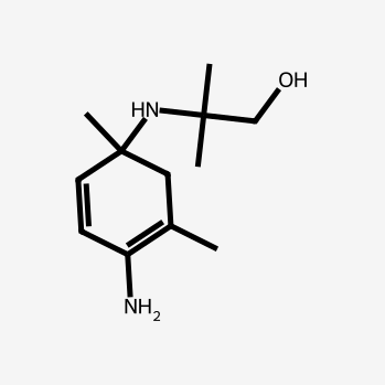 CC1=C(N)C=CC(C)(NC(C)(C)CO)C1